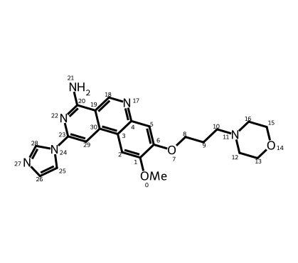 COc1cc2c(cc1OCCCN1CCOCC1)ncc1c(N)nc(-n3ccnc3)cc12